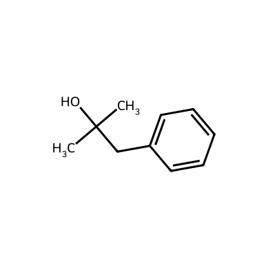 CC(C)(O)Cc1ccccc1